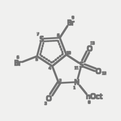 CCCCCCCCN1C(=O)c2c(Br)sc(Br)c2S1(=O)=O